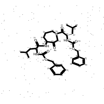 CC(C)CC(NC(=O)OCc1ccccc1)C(=O)NC1CCCN(C(=O)[C@H](CC(C)C)NC(=O)OCc2ccccc2)CC1=O